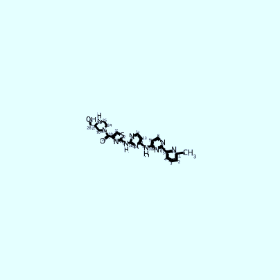 Cc1cccc(-c2nccc(Nc3ccnc(Nc4nc(C(=O)N5CCN[C@@H](CO)C5)cs4)n3)n2)n1